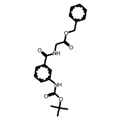 CC(C)(C)OC(=O)Nc1cccc(C(=O)NCC(=O)OCc2ccccc2)c1